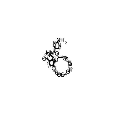 Cn1c(NC(=O)c2cnc(N)nc2)cc2c3c(ccc2c1=O)OCCOCCOCCOCCOCCO3